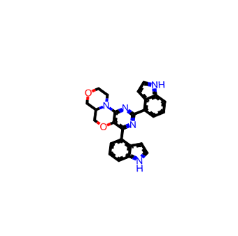 c1cc(-c2nc(-c3cccc4[nH]ccc34)c3c(n2)N2CCOCC2CO3)c2cc[nH]c2c1